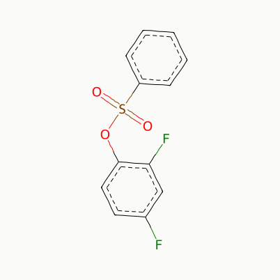 O=S(=O)(Oc1ccc(F)cc1F)c1ccccc1